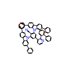 N#Cc1c(-n2c3cc(-c4ccccc4)ccc3c3ccc(-c4ccccc4)cc32)cc(-c2cccnc2-c2ccccc2-c2ccccc2)cc1-n1c2cc(-c3ccccc3)ccc2c2ccc(-c3ccccc3)cc21